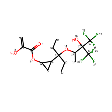 C=C(O)C(=O)OC1CC1C(CC)(CC)OC(C)C(O)(C(F)(F)F)C(F)(F)F